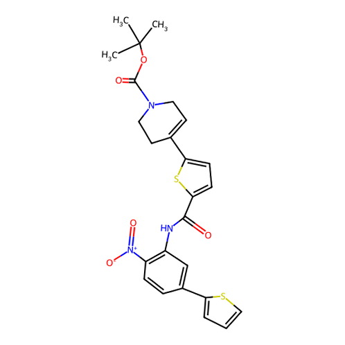 CC(C)(C)OC(=O)N1CC=C(c2ccc(C(=O)Nc3cc(-c4cccs4)ccc3[N+](=O)[O-])s2)CC1